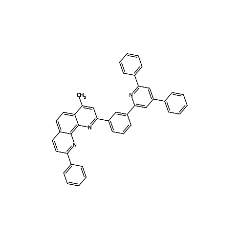 Cc1cc(-c2cccc(-c3cc(-c4ccccc4)cc(-c4ccccc4)n3)c2)nc2c1ccc1ccc(-c3ccccc3)nc12